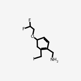 NCC1=C(CI)CC(OCC(F)F)C=C1